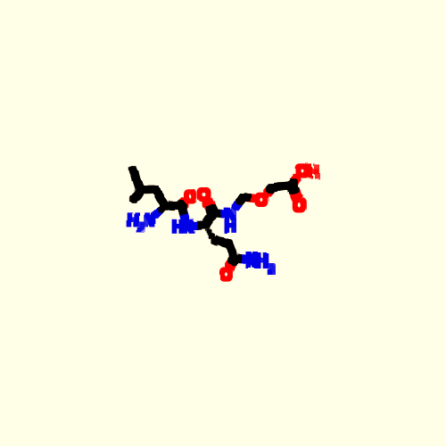 CC(C)C[C@H](N)C(=O)N[C@@H](CCC(N)=O)C(=O)NCOCC(=O)O